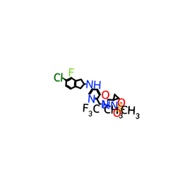 CN(C(=O)C1(NS(C)(=O)=O)CC1)C(c1ccc(NC2Cc3ccc(Cl)c(F)c3C2)cn1)C(F)(F)F